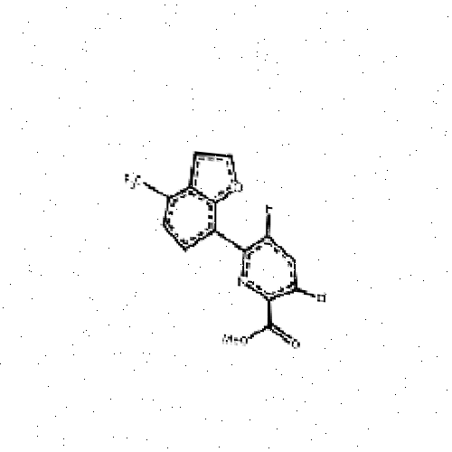 COC(=O)c1nc(-c2ccc(C(F)(F)F)c3ccoc23)c(F)cc1Cl